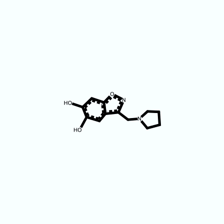 Oc1cc2onc(CN3CCCC3)c2cc1O